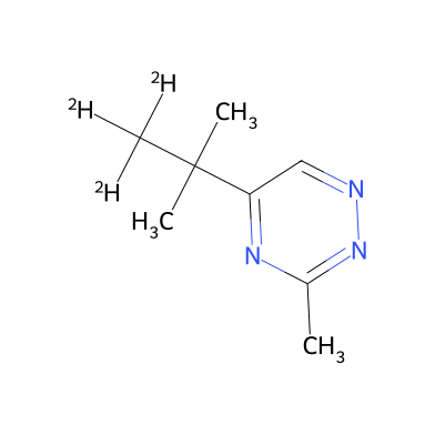 [2H]C([2H])([2H])C(C)(C)c1cnnc(C)n1